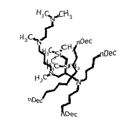 CCCCCCCCCCCCCCN(CCCCCCCCCCCCCC)C(CCCCCCCCCCCCCC)(CCCCCCCCCCCCCC)C(CN(C)CCCCN(C)CCCN(C)C)[Si](C)(C)C[Si](C)(C)C